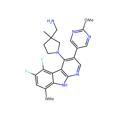 CNc1cc(F)c(F)c2c1[nH]c1ncc(-c3cnc(OC)nc3)c(N3CCC(C)(CN)C3)c12